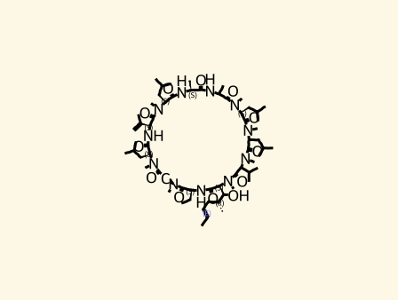 C=C(C)[C@@H]1NC(=O)[C@H](CC(C)C)N(C)C(=O)CN(C)C(=O)[C@H](CC)NC(=O)[C@H](C(O)[C@H](C)C/C=C/C)N(C)C(=O)C(C(C)C)N(C)C(=O)C(CC(C)C)N(C)C(=O)[C@H](CC(C)C)N(C)C(=O)C(C)NC(=O)[C@H](C)NC(=O)[C@H](CC(C)C)N(C)C1=O